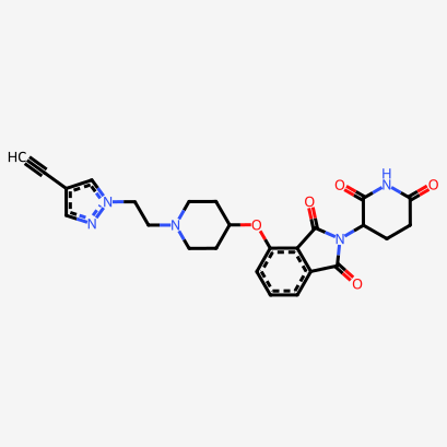 C#Cc1cnn(CCN2CCC(Oc3cccc4c3C(=O)N(C3CCC(=O)NC3=O)C4=O)CC2)c1